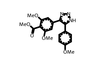 COC(=O)c1c(OC)cc(-c2nn[nH]c2-c2ccc(OC)cc2)cc1OC